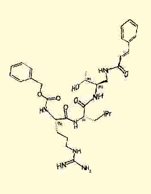 CC(C)C[C@H](NC(=O)[C@H](CCCNC(=N)N)NC(=O)OCc1ccccc1)C(=O)N[C@H](CNC(=O)/C=C/c1ccccc1)[C@@H](C)O